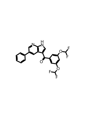 O=C(c1cc(OC(F)F)cc(OC(F)F)c1)c1c[nH]c2ncc(-c3ccccc3)cc12